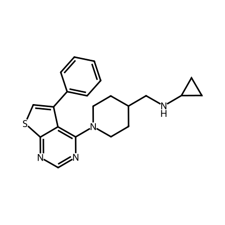 c1ccc(-c2csc3ncnc(N4CCC(CNC5CC5)CC4)c23)cc1